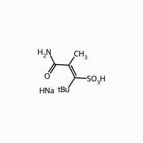 CC(C(N)=O)=C(C(C)(C)C)S(=O)(=O)O.[NaH]